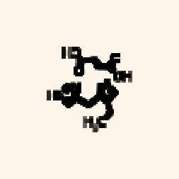 CCc1cscc1Cc1c[nH]cn1.O=C(O)/C=C/C(=O)O